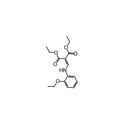 CCOC(=O)C(=CNc1ccccc1OCC)C(=O)OCC